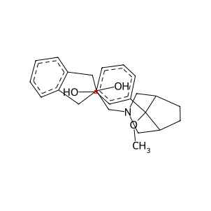 COC1(c2cccc(O)c2)C2CCC1CN(CC1(O)Cc3ccccc3C1)C2